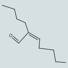 CCCCC=C(C=O)CCCC